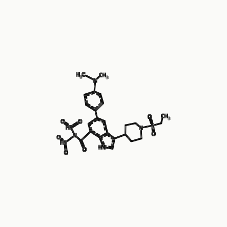 CCS(=O)(=O)N1CCC(c2c[nH]c3c(C(=O)N([SH](=O)=O)[SH](=O)=O)cc(-c4ccc(N(C)C)cc4)cc23)CC1